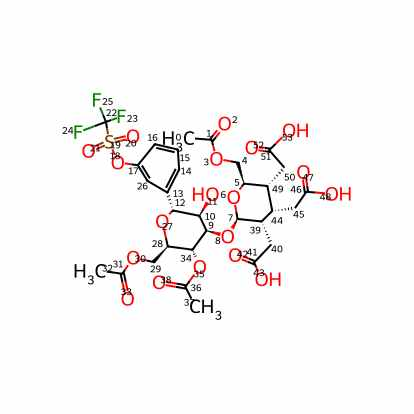 CC(=O)OC[C@@H]1O[C@H](O[C@@H]2[C@H](O)[C@@H](c3cccc(OS(=O)(=O)C(F)(F)F)c3)O[C@H](COC(C)=O)[C@H]2OC(C)=O)[C@@H](CC(=O)O)[C@@H](CC(=O)O)[C@H]1CC(=O)O